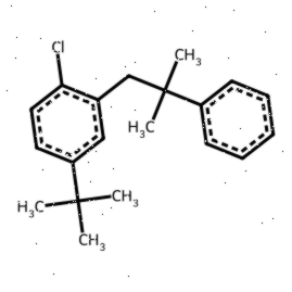 CC(C)(C)c1ccc(Cl)c(CC(C)(C)c2ccccc2)c1